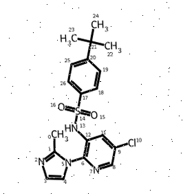 Cc1nccn1-c1ncc(Cl)cc1NS(=O)(=O)c1ccc(C(C)(C)C)cc1